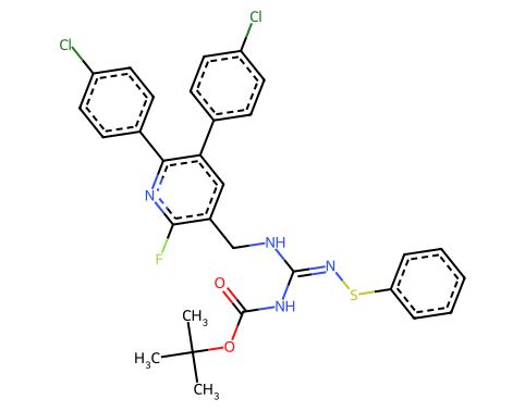 CC(C)(C)OC(=O)N/C(=N\Sc1ccccc1)NCc1cc(-c2ccc(Cl)cc2)c(-c2ccc(Cl)cc2)nc1F